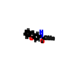 [CH2]OC(=O)Nc1ccc(Oc2ccccc2)c(SC)c1